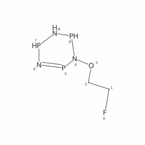 FCCOn1pn[pH][nH][pH]1